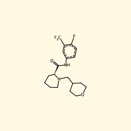 O=C(Nc1ccc(F)c(C(F)(F)F)c1)[C@@H]1CCCCN1CC1CCOCC1